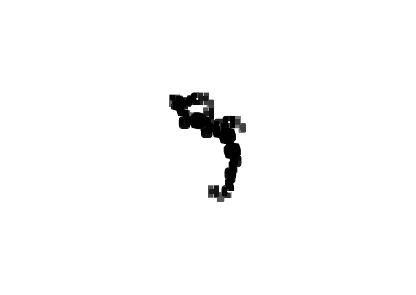 CCCCOCCOc1ccc(-c2ccc(C(C)C)c(/C=C/C(=O)Nc3ccc([S@@+]([O-])CCc4cncn4CCC)cc3)c2)cc1